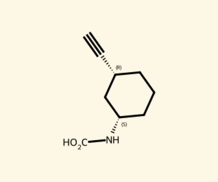 C#C[C@@H]1CCC[C@H](NC(=O)O)C1